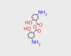 Nc1ccc(O)c(C(=O)OC(=O)c2cc(N)ccc2O)c1